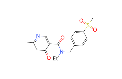 CCN(Cc1ccc(S(C)(=O)=O)cc1)C(=O)C1=CN=C(C)CC1=O